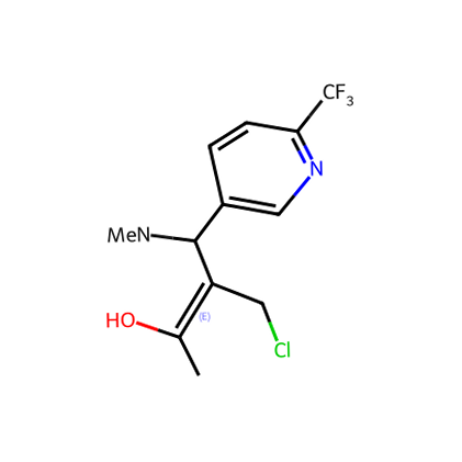 CNC(/C(CCl)=C(/C)O)c1ccc(C(F)(F)F)nc1